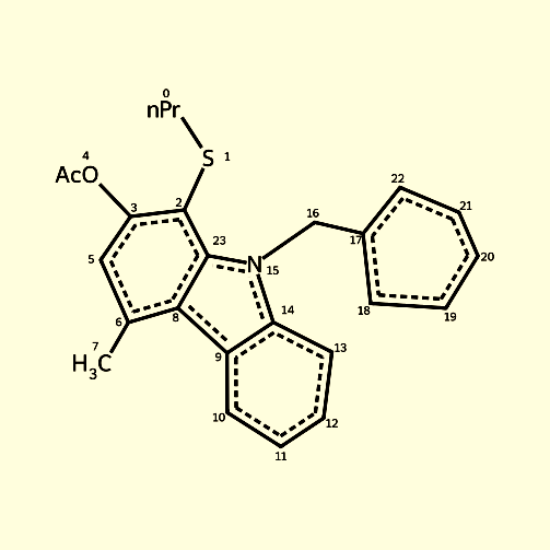 CCCSc1c(OC(C)=O)cc(C)c2c3ccccc3n(Cc3ccccc3)c12